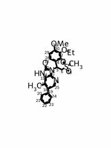 CCOc1cc(C(CS(C)(=O)=O)n2c(=O)[nH]c3c(C)c(-c4ccccc4)cnc32)ccc1OC